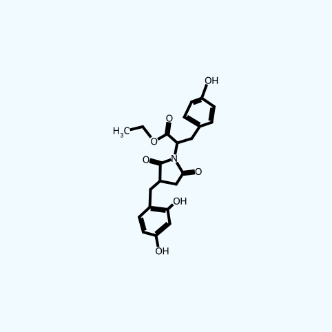 CCOC(=O)C(Cc1ccc(O)cc1)N1C(=O)CC(Cc2ccc(O)cc2O)C1=O